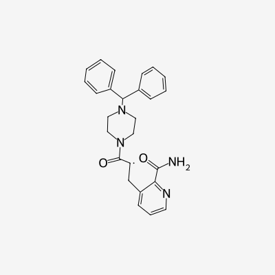 NC(=O)c1ncccc1C[CH]C(=O)N1CCN(C(c2ccccc2)c2ccccc2)CC1